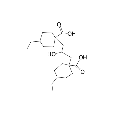 CCC1CCC(CC(O)CC2(C(=O)O)CCC(CC)CC2)(C(=O)O)CC1